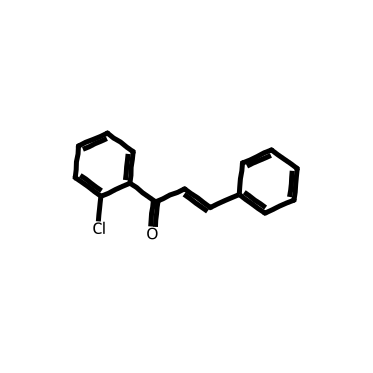 O=C(/C=C/c1ccccc1)c1ccccc1Cl